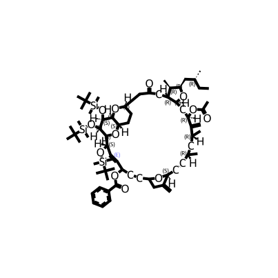 C=C1CC2CCC(OC(=O)c3ccccc3)/C=C/[C@H](O[Si](C)(C)C(C)(C)C)[C@@H]3O[C@H]4CC[C@H](CC(=O)C[C@@H]5[C@@H](C)[C@@H](C[C@H](C)CC)O[C@H]5C[C@@H](OC(C)=O)C(=C)[C@H](C)C[C@H](C)CC[C@@H]1O2)O[C@@H]4[C@H](O[Si](C)(C)C(C)(C)C)[C@@H]3O[Si](C)(C)C(C)(C)C